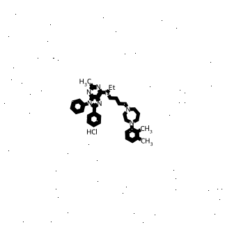 CCN(CCCCN1CCCN(c2cccc(C)c2C)CC1)c1nc(C)nc2c1nc(-c1ccccc1)n2-c1ccccc1.Cl